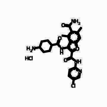 Cc1cc2oc(C(=O)Nc3ccc(Cl)cn3)c(NC(=O)C3CCC(N)CC3)c2c(C)c1C(N)=O.Cl